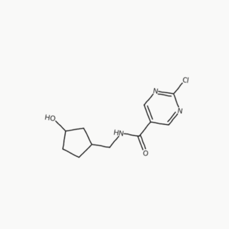 O=C(NCC1CCC(O)C1)c1cnc(Cl)nc1